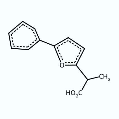 CC(C(=O)O)c1ccc(-c2ccccc2)o1